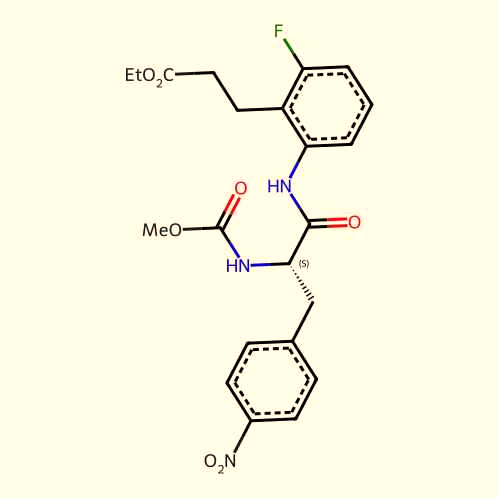 CCOC(=O)CCc1c(F)cccc1NC(=O)[C@H](Cc1ccc([N+](=O)[O-])cc1)NC(=O)OC